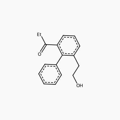 CCC(=O)c1cccc(CCO)c1-c1ccccc1